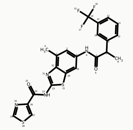 Cc1cc(NC(=O)C(C)c2cccc(C(F)(F)F)c2)cc2sc(NC(=O)c3cscn3)nc12